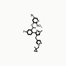 CC(Oc1cc(Br)cnc1[N+](=O)[O-])c1cc(F)ccc1-c1nn(C)cc1Cc1cnn(CC2(C)CC2)c1